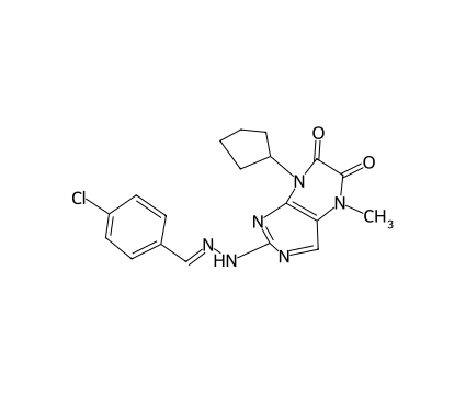 Cn1c(=O)c(=O)n(C2CCCC2)c2nc(N/N=C/c3ccc(Cl)cc3)ncc21